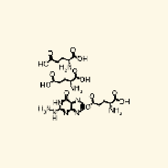 NNc1nc2nccnc2c(=O)[nH]1.N[C@@H](CCC(=O)O)C(=O)O.N[C@@H](CCC(=O)O)C(=O)O.N[C@@H](CCC(=O)O)C(=O)O